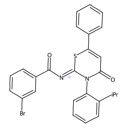 CC(C)c1ccccc1-n1c(=O)cc(-c2ccccc2)s/c1=N\C(=O)c1cccc(Br)c1